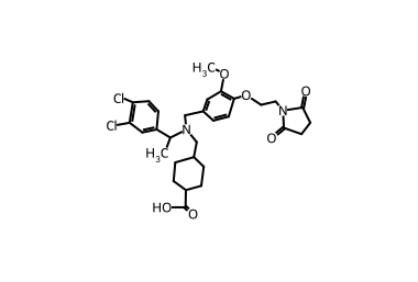 COc1cc(CN(CC2CCC(C(=O)O)CC2)C(C)c2ccc(Cl)c(Cl)c2)ccc1OCCN1C(=O)CCC1=O